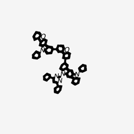 c1ccc(-c2cc(-c3ccccc3)nc(-n3c4ccc(-c5ccc6oc7ccc(-c8ccc9c(c8)c8cc%10oc%11ccccc%11c%10cc8n9-c8ccccc8)cc7c6c5)cc4c4cc5c(cc43)c3ccccc3n5-c3ccccc3)n2)cc1